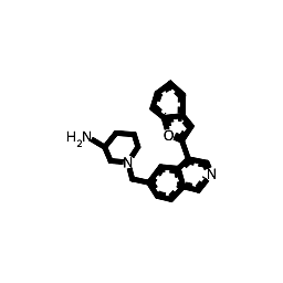 NC1CCCN(Cc2ccc3cncc(-c4cc5ccccc5o4)c3c2)C1